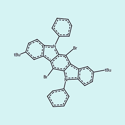 CC(C)(C)c1ccc2c(c1)c1c(Br)c3c(c(Br)c1n2-c1ccccc1)c1cc(C(C)(C)C)ccc1n3-c1ccccc1